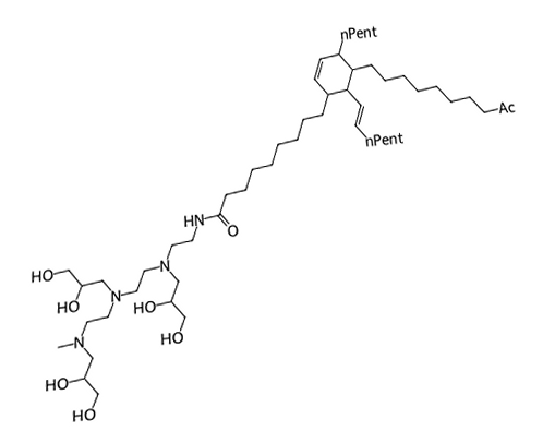 CCCCCC=CC1C(CCCCCCCCC(=O)NCCN(CCN(CCN(C)CC(O)CO)CC(O)CO)CC(O)CO)C=CC(CCCCC)C1CCCCCCCCC(C)=O